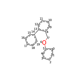 [c]1ccccc1OCc1ccccc1-c1ccccc1